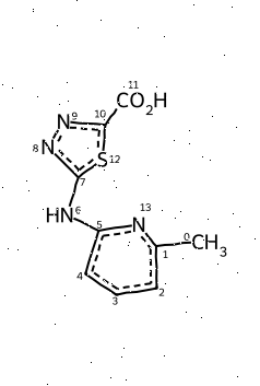 Cc1cccc(Nc2nnc(C(=O)O)s2)n1